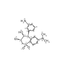 CC[C@@H]1CS(=O)(=O)c2ccc(N(C)C)cc2[C@H](c2cccc(N)c2)[C@@H]1O